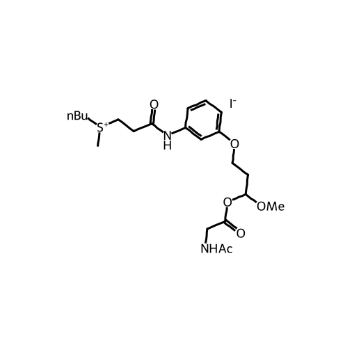 CCCC[S+](C)CCC(=O)Nc1cccc(OCCC(OC)OC(=O)CNC(C)=O)c1.[I-]